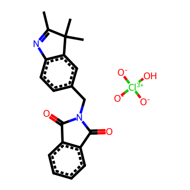 CC1=Nc2ccc(CN3C(=O)c4ccccc4C3=O)cc2C1(C)C.[O-][Cl+3]([O-])([O-])O